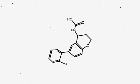 O=C(O)NC1CCOc2ccc(-c3ccccc3F)cc21